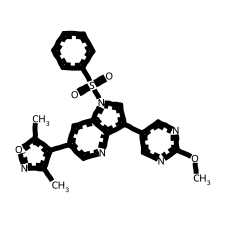 COc1ncc(-c2cn(S(=O)(=O)c3ccccc3)c3cc(-c4c(C)noc4C)cnc23)cn1